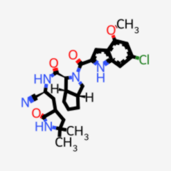 COc1cc(Cl)cc2[nH]c(C(=O)N3C[C@@H]4CCC[C@@H]4[C@H]3C(=O)N[C@H](C#N)CC3CC(C)(C)NC3=O)cc12